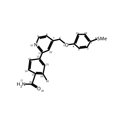 CSc1ccc(OCc2ccnc(-c3ccc(C(N)=O)c(C)c3)c2)cc1